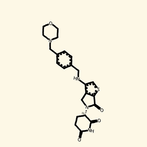 O=C1CC[C@H](N2Cc3c(NCc4ccc(CN5CCOCC5)cc4)csc3C2=O)C(=O)N1